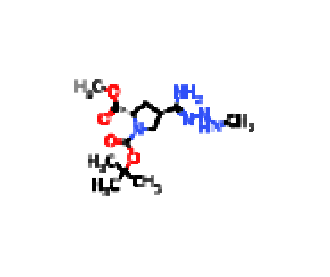 C=NN/N=C(\N)[C@@H]1C[C@@H](C(=O)OC)N(C(=O)OC(C)(C)C)C1